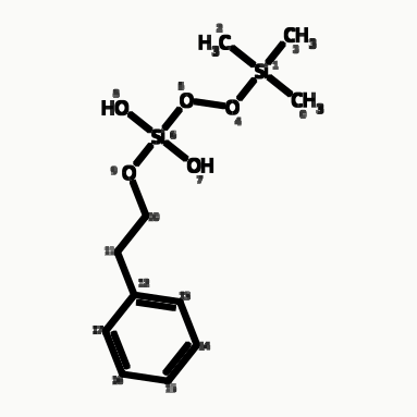 C[Si](C)(C)OO[Si](O)(O)OCCc1ccccc1